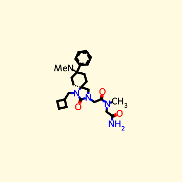 CN[C@]1(c2ccccc2)CC[C@]2(CC1)CN(CC(=O)N(C)CC(N)=O)C(=O)N2CC1CCC1